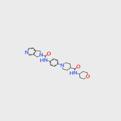 O=C(NC1CCOCC1)C1CCN(c2ccc(NC(=O)N3Cc4ccncc4C3)cc2)CC1